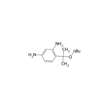 CCCCOC(C)(C)c1ccc(N)cc1N